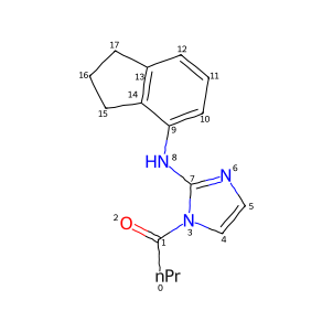 CCCC(=O)n1ccnc1Nc1cccc2c1CCC2